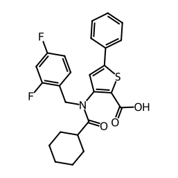 O=C(O)c1sc(-c2ccccc2)cc1N(Cc1ccc(F)cc1F)C(=O)C1CCCCC1